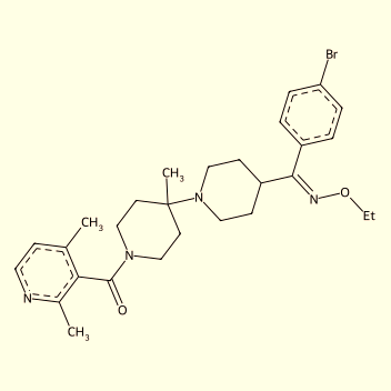 CCO/N=C(\c1ccc(Br)cc1)C1CCN(C2(C)CCN(C(=O)c3c(C)ccnc3C)CC2)CC1